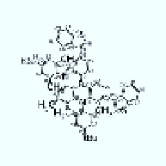 Cc1cc2c3c(c1)N(c1c(C)cc(C(C)(C)C)cc1C)c1cc(-c4csc5ccccc45)ccc1B3c1ccc(-c3csc4ccccc34)cc1N2c1c(C)cc(C(C)(C)C)cc1C